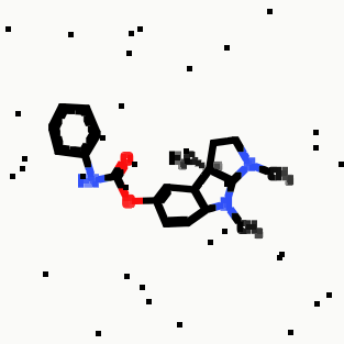 CN1CC[C@]2(C)C3C=C(OC(=O)Nc4ccccc4)C=CC3N(C)C12